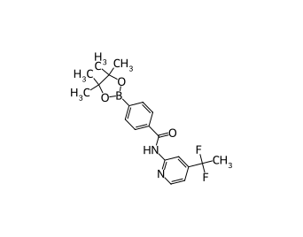 CC(F)(F)c1ccnc(NC(=O)c2ccc(B3OC(C)(C)C(C)(C)O3)cc2)c1